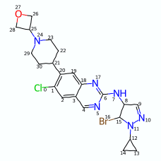 Clc1cc2cnc(NC3C=NN(C4CC4)C3Br)nc2cc1C1CCN(C2COC2)CC1